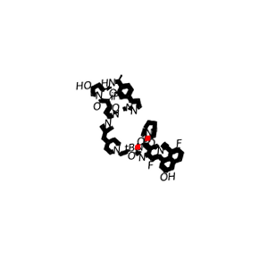 C#Cc1c(F)ccc2cc(O)cc(-c3ncc4c(N5CC6CCC(C5)N6C(=O)OC(C)(C)C)nc(OCCN5CCC(CC6CN(c7cc([C@H](C(=O)N8C[C@H](O)C[C@H]8C(=O)N[C@@H](C)c8ccc(-c9ccnn9C)cc8)C(C)C)on7)C6)CC5)nc4c3F)c12